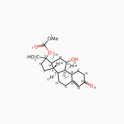 COC(=O)OC1(C(=O)O)CC[C@H]2[C@@H]3CCC4=CC(=O)CC[C@]4(C)[C@@H]3C(O)C[C@@]21C